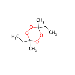 CCC1(C)OOC(C)(CC)OO1